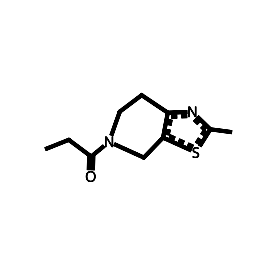 CCC(=O)N1CCc2nc(C)sc2C1